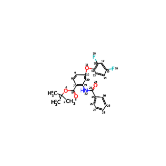 CC(C)(C)OC(=O)c1ccc(Oc2ccc(F)cc2F)cc1NC(=O)c1ccccc1